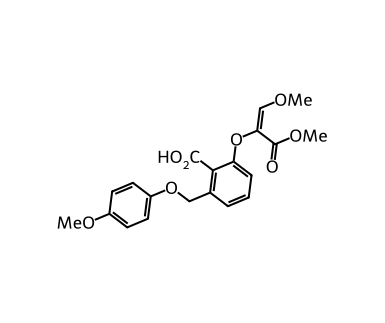 COC=C(Oc1cccc(COc2ccc(OC)cc2)c1C(=O)O)C(=O)OC